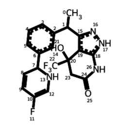 CC(c1cccc(C2C=CC(F)=CN2)c1)c1n[nH]c2c1C(O)(C(F)(F)F)CC(=O)N2